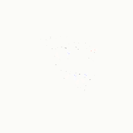 C[C@H]1C/C=C/[C@H](O)[C@@H]2CC[C@H]2CN2C[C@@]3(CCCc4cc(Cl)ccc43)COc3ccc(cc32)C(=O)NS(=O)(=O)N1CC1CC1